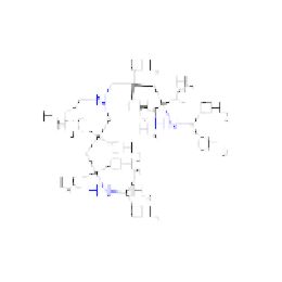 CCN(CC(C)(C)CC(C)(C)NC(C)C)CC(C)(C)CC(C)(C)NC(C)C